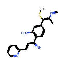 C=N/C(C)=C(\SCC)c1ccc(C(=N)/C=C/c2ccccn2)c(N)c1